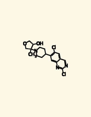 CC1(N2CCC(c3cc4nc(Cl)ncc4cc3Cl)CC2)COCC1O